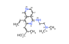 C=Cc1c(/C=C(\C)C(=O)O)nc(NCCN(C)C)c2ccncc12